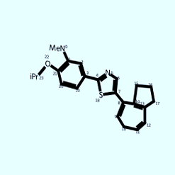 CNc1cc(-c2ncc(C3=CCC=CC4=C3CCC4)s2)ccc1OC(C)C